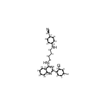 Cc1ccc(-c2nc(NCCCCNc3ccc(C#N)cc3)c3ccccc3n2)c(Cl)c1